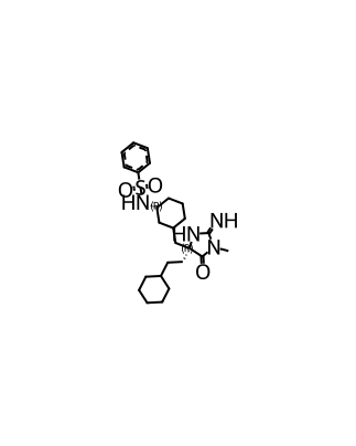 CN1C(=N)N[C@](CCC2CCCCC2)(CC2CCC[C@@H](NS(=O)(=O)c3ccccc3)C2)C1=O